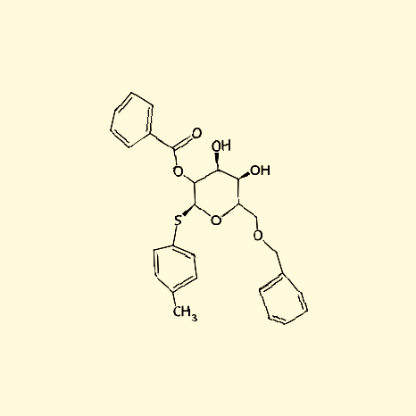 Cc1ccc(S[C@@H]2OC(COCc3ccccc3)[C@H](O)[C@H](O)C2OC(=O)c2ccccc2)cc1